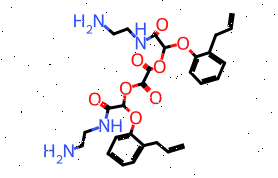 C=CCc1ccccc1OC(OC(=O)C(=O)OC(Oc1ccccc1CC=C)C(=O)NCCN)C(=O)NCCN